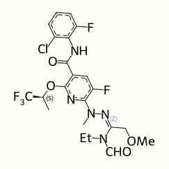 CCN(C=O)/C(COC)=N\N(C)c1nc(O[C@@H](C)C(F)(F)F)c(C(=O)Nc2c(F)cccc2Cl)cc1F